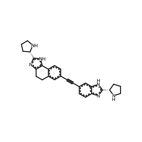 C(#Cc1ccc2nc([C@@H]3CCCN3)[nH]c2c1)c1ccc2c(c1)CCc1nc([C@@H]3CCCN3)[nH]c1-2